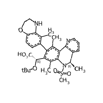 Cc1c(-c2c(C)c3c(c(C)c2[C@H](OC(C)(C)C)C(=O)O)N(S(C)(=O)=O)[C@H](C)c2cccnc2-3)ccc2c1NCCO2